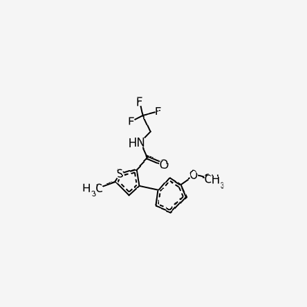 COc1cccc(-c2cc(C)sc2C(=O)NCC(F)(F)F)c1